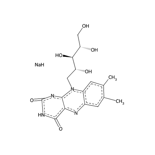 Cc1cc2nc3c(=O)[nH]c(=O)nc-3n(C[C@@H](O)[C@@H](O)[C@@H](O)CO)c2cc1C.[NaH]